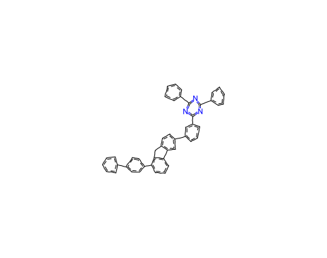 c1ccc(-c2ccc(-c3cccc4c3Cc3ccc(-c5cccc(-c6nc(-c7ccccc7)nc(-c7ccccc7)n6)c5)cc3-4)cc2)cc1